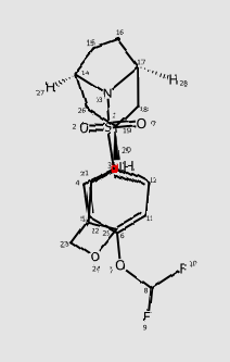 O=S(=O)(c1ccc(OC(F)F)cc1)N1[C@@H]2CC[C@H]1C[C@@H](NCC1COC1)C2